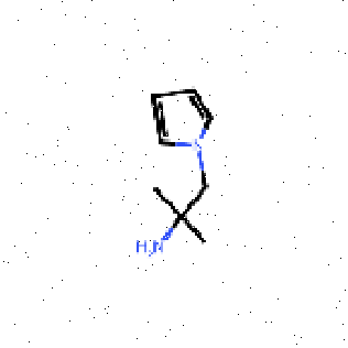 CC(C)(N)Cn1cccc1